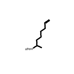 C=CCCCCC(C)CCCCC